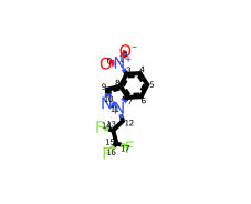 O=[N+]([O-])c1cccc2c1cnn2CC(F)C(F)F